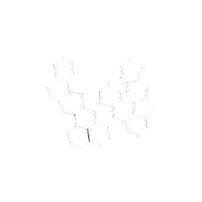 c1ccc(-c2cc3ccc4ccccc4c3cc2-c2c3ccccc3c(-c3cccc4sc5cc6ccccc6cc5c34)c3ccccc23)cc1